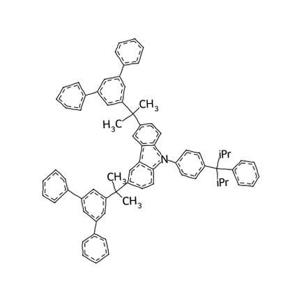 CC(C)C(c1ccccc1)(c1ccc(-n2c3ccc(C(C)(C)c4cc(-c5ccccc5)cc(-c5ccccc5)c4)cc3c3cc(C(C)(C)c4cc(-c5ccccc5)cc(-c5ccccc5)c4)ccc32)cc1)C(C)C